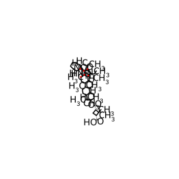 Cc1nnc(C(C)C)n1C1C[C@H]2CC[C@@H](C1)N2C(=O)N[C@@]12CC[C@]3(C)[C@H](CC[C@@H]4[C@@]5(C)CC[C@H](OC(=O)[C@H]6C[C@@H](C(=O)O)C6(C)C)C(C)(C)[C@@H]5CC[C@]43C)C1=C(C(C)C)C(=O)C2